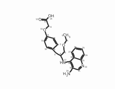 CCOCC(Cc1ccc(OCC(=O)O)cc1)Nc1c(N)cnc2ccccc12